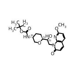 COc1ccc2ccc(=O)n(C[C@H](O)[C@@H]3CC[C@@H](NC(=O)OC(C)(C)C)CO3)c2n1